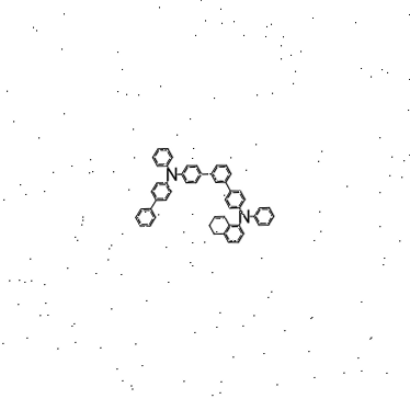 C1=Cc2c(cccc2N(c2ccccc2)c2ccc(-c3cccc(-c4ccc(N(c5ccccc5)c5ccc(-c6ccccc6)cc5)cc4)c3)cc2)CC1